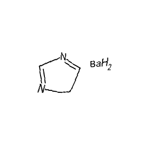 C1=NC=NC1.[BaH2]